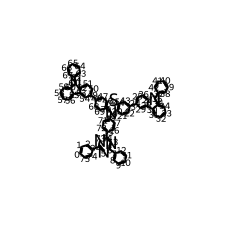 c1ccc(-c2nc(-c3ccccc3)nc(-c3ccc(N4c5ccc(-c6ccc7c(c6)c6ccccc6n7-c6ccccc6)cc5Sc5cc(-c6ccc7c(c6)c6ccccc6n7-c6ccccc6)ccc54)cc3)n2)cc1